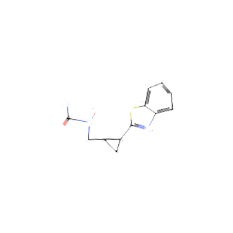 NC(=O)N(O)CC1CC1c1nc2ccccc2s1